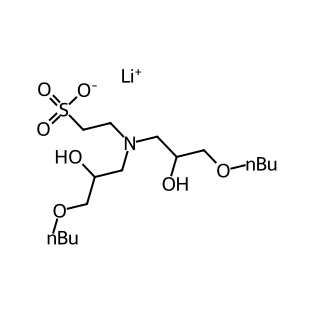 CCCCOCC(O)CN(CCS(=O)(=O)[O-])CC(O)COCCCC.[Li+]